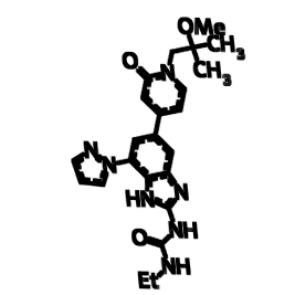 CCNC(=O)Nc1nc2cc(-c3ccn(CC(C)(C)OC)c(=O)c3)cc(-n3cccn3)c2[nH]1